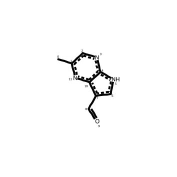 Cc1cnc2[nH]cc(C=O)c2n1